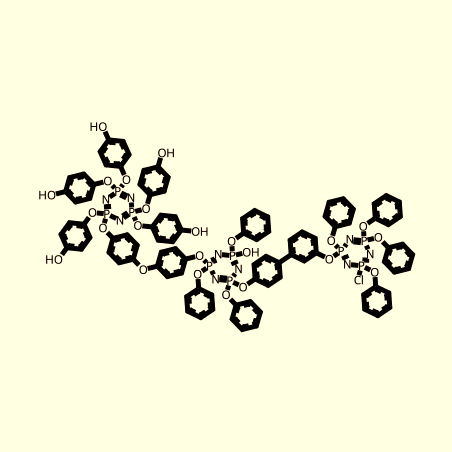 Oc1ccc(OP2(Oc3ccc(O)cc3)=NP(Oc3ccc(O)cc3)(Oc3ccc(O)cc3)=NP(Oc3ccc(O)cc3)(Oc3ccc(Oc4ccc(OP5(Oc6ccccc6)=NP(O)(Oc6ccccc6)=NP(Oc6ccccc6)(Oc6ccc(-c7cccc(OP8(Oc9ccccc9)=NP(Cl)(Oc9ccccc9)=NP(Oc9ccccc9)(Oc9ccccc9)=N8)c7)cc6)=N5)cc4)cc3)=N2)cc1